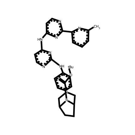 Cc1cccc(-c2nccc(Nc3ccnc(Nc4ccc(N5C6CCC5CN(C(=O)OC(C)(C)C)C6)cc4)n3)n2)n1